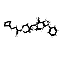 O=C(CCC1CCC1)N1CCC(O)(Cn2cnc3c(nnn3-c3ccccc3)c2=O)CC1